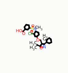 Cc1ccccc1-c1noc(C(C)C)c1COc1ccc(N(C)S(=O)(=O)c2cccc(C(=O)O)c2)c(Cl)c1